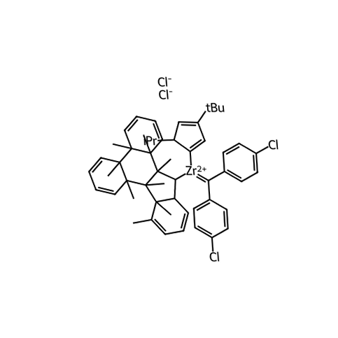 CC1=CC=CC2[CH]([Zr+2]([C]3=CC(C(C)(C)C)=CC3C(C)C)=[C](c3ccc(Cl)cc3)c3ccc(Cl)cc3)C3(C)C4(C)C=CC=CC4(C)C4(C)C=CC=CC4(C)C3(C)C12C.[Cl-].[Cl-]